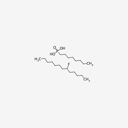 CCCCCCCC(F)CCCCC.CCCCCCCCP(=O)(O)O